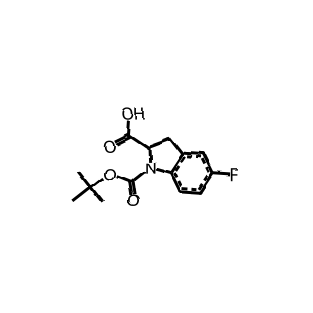 CC(C)(C)OC(=O)N1c2ccc(F)cc2CC1C(=O)O